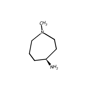 CN1CCC[C@H](N)CC1